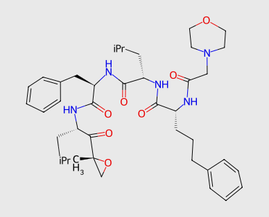 CC(C)C[C@H](NC(=O)[C@@H](CCCc1ccccc1)NC(=O)CN1CCOCC1)C(=O)N[C@H](Cc1ccccc1)C(=O)N[C@@H](CC(C)C)C(=O)[C@@]1(C)CO1